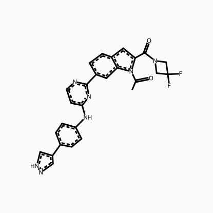 CC(=O)n1c(C(=O)N2CC(F)(F)C2)cc2ccc(-c3nccc(Nc4ccc(-c5cn[nH]c5)cc4)n3)cc21